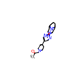 CCC(=O)CN1CCC(c2cnc(N3C4CCC3CN(C)C4)nc2)CC1